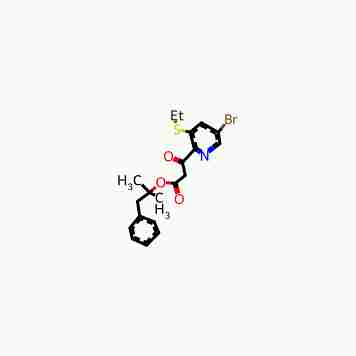 CCSc1cc(Br)cnc1C(=O)CC(=O)OC(C)(C)Cc1ccccc1